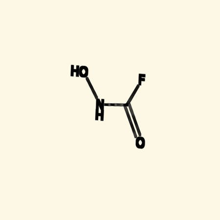 O=C(F)NO